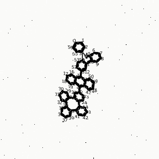 c1ccc(-n2c3ccccc3c3cc(-c4c5ccccc5c(-c5ccc6c(c5)-c5ccccc5-c5ccccc5-c5ccccc5-6)c5ccccc45)ccc32)cc1